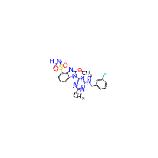 COc1nc2c(S(N)(=O)=O)cccc2n1-c1nc(C)nc(NCc2cccc(F)c2)n1